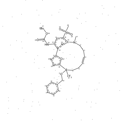 CN1CCC=CCCC(OCc2ccccc2)(C(F)(F)F)c2nnc(o2)-c2nc1c(S(C)(=O)=O)cc2NC(=O)OC(C)(C)C